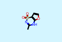 CC1=NS(=O)(=O)c2ccoc2N1